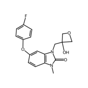 Cn1c(=O)n(CC2(O)COC2)c2cc(Oc3ccc(F)cc3)ccc21